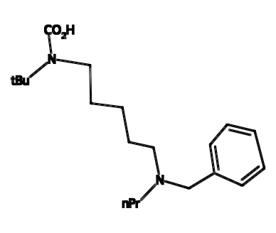 CCCN(CCCCCN(C(=O)O)C(C)(C)C)Cc1ccccc1